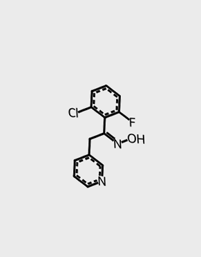 ON=C(Cc1cccnc1)c1c(F)cccc1Cl